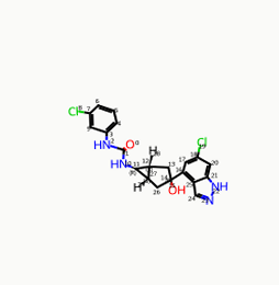 O=C(Nc1cccc(Cl)c1)N[C@H]1[C@@H]2C[C@](O)(c3cc(Cl)cc4[nH]ncc34)C[C@@H]21